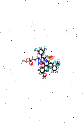 CCOC(=O)CCCNC(c1cc(F)cc(F)c1)C1C[S+]([O-])c2c(Cc3c(F)cccc3C(F)(F)F)c(C)c(-c3cccc(OC)c3F)c(=O)n21